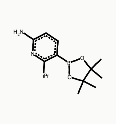 CC(C)c1nc(N)ccc1B1OC(C)(C)C(C)(C)O1